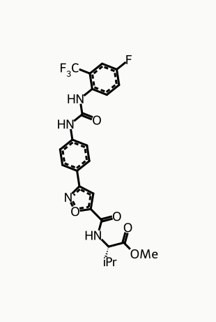 COC(=O)[C@@H](NC(=O)c1cc(-c2ccc(NC(=O)Nc3ccc(F)cc3C(F)(F)F)cc2)no1)C(C)C